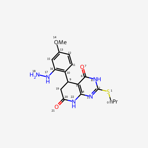 CCCSc1nc2c(c(=O)[nH]1)C(c1ccc(OC)cc1NN)CC(=O)N2